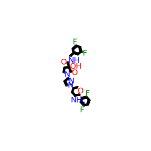 N[C@H]1C[C@@H](n2ccc(N3CCC(O)(C(=O)NCc4cc(F)cc(F)c4)C3=O)n2)CO[C@@H]1c1cc(F)ccc1F